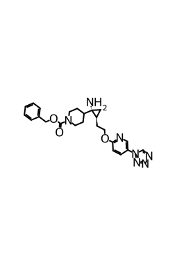 N[C@]1(C2CCN(C(=O)OCc3ccccc3)CC2)C[C@H]1CCOc1ccc(-n2cnnn2)cn1